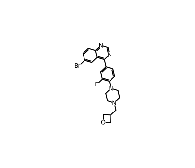 Fc1cc(-c2ncnc3ccc(Br)cc23)ccc1N1CCN(CC2COC2)CC1